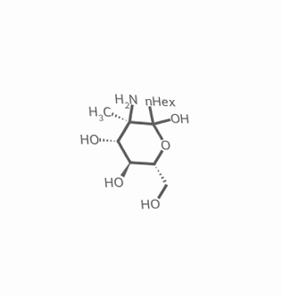 CCCCCCC1(O)O[C@H](CO)[C@@H](O)[C@H](O)[C@@]1(C)N